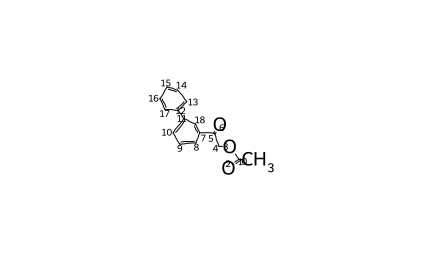 CC(=O)OCC(=O)c1cccc(-c2ccccc2)c1